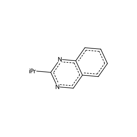 CC(C)c1ncc2ccccc2n1